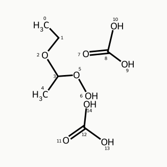 CCOC(C)OO.O=C(O)O.O=C(O)O